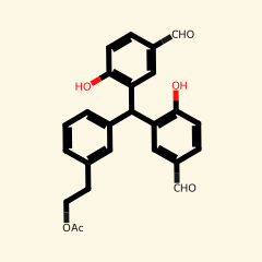 CC(=O)OCCc1cccc(C(c2cc(C=O)ccc2O)c2cc(C=O)ccc2O)c1